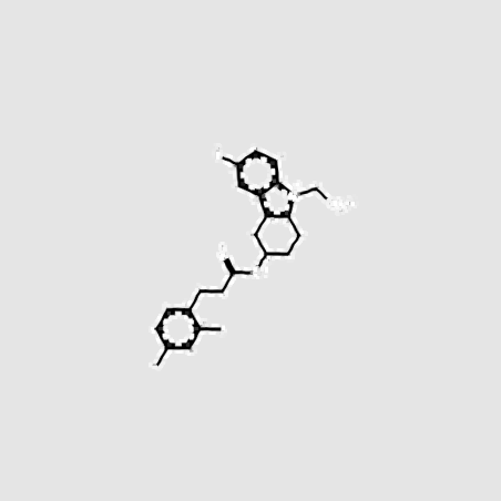 Cc1ccc(CCC(=O)NC2CCc3c(c4cc(F)ccc4n3CC(=O)O)C2)c(C)c1